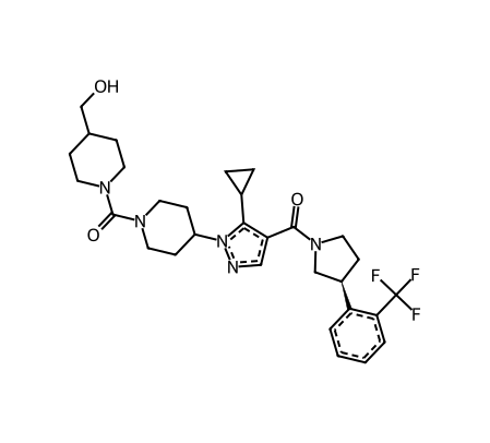 O=C(c1cnn(C2CCN(C(=O)N3CCC(CO)CC3)CC2)c1C1CC1)N1CC[C@@H](c2ccccc2C(F)(F)F)C1